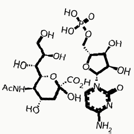 CC(=O)N[C@H]1[C@H]([C@H](O)[C@H](O)CO)O[C@](O)(C(=O)O)C[C@@H]1O.Nc1ccn([C@@H]2O[C@H](COP(=O)(O)O)[C@@H](O)[C@H]2O)c(=O)n1